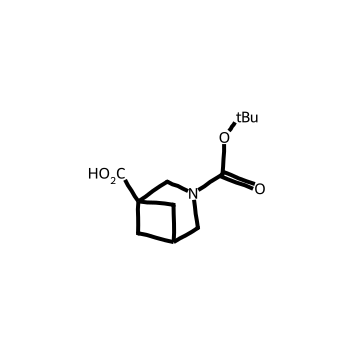 CC(C)(C)OC(=O)N1CC2CC(C(=O)O)(C2)C1